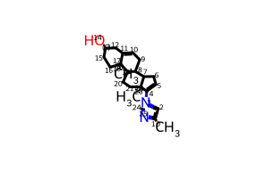 Cc1cn(C2=CCC3C4CC=C5C[C@@H](O)CC[C@]5(C)C4CC[C@]23C)cn1